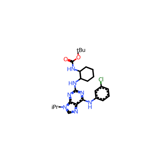 CC(C)n1cnc2c(Nc3cccc(Cl)c3)nc(NC3CCCCC3NC(=O)OC(C)(C)C)nc21